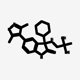 Cc1noc(C)c1-c1ccc2c(c1)C(NCC(C)(O)O)(C1CCCCC1)C(=O)N2